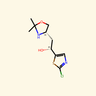 CC1(C)N[C@@H](C[C@@H](O)c2cnc(Cl)s2)CO1